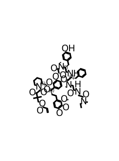 C=CC(=O)OCC(C)(C)C(=O)C(=O)N1CCCC[C@H]1C(=O)O[C@H](CCc1ccc(OC)c(OC)c1OC)c1cccc(OCC(=O)N(C)[C@@H](Cc2ccc(O)cc2)C(=O)N[C@H](Cc2ccccc2)C(=O)N(C)CC(=O)NCC(=O)N(C)CC)c1